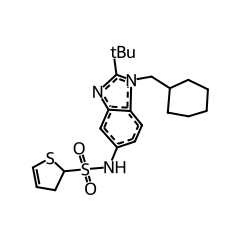 CC(C)(C)c1nc2cc(NS(=O)(=O)C3CC=CS3)ccc2n1CC1CCCCC1